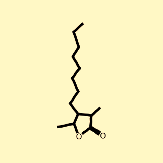 CCCCCCCCC1C(C)OC(=O)C1C